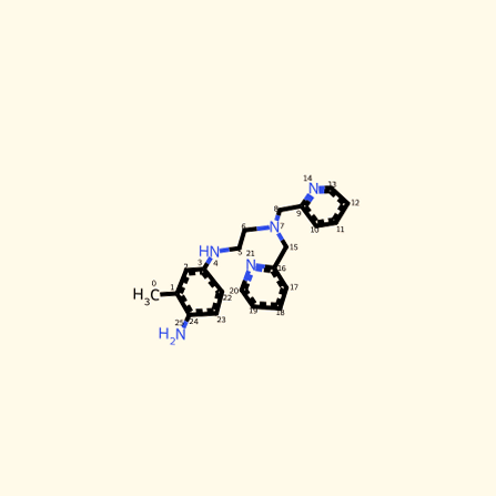 Cc1cc(NCCN(Cc2ccccn2)Cc2ccccn2)ccc1N